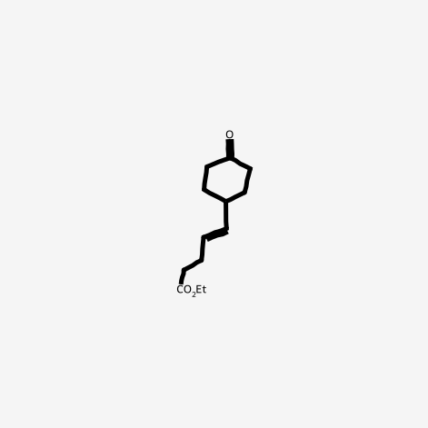 CCOC(=O)CC/C=C/C1CCC(=O)CC1